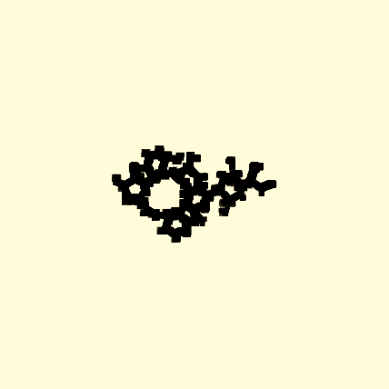 C=CC(=O)N1C[C@H](C)N(c2nc(=O)n3c4nc(c(F)cc24)-c2c(F)cccc2N(C(=O)C(C)N)CCSc2ccnc(C(C)C)c2-3)C[C@H]1C